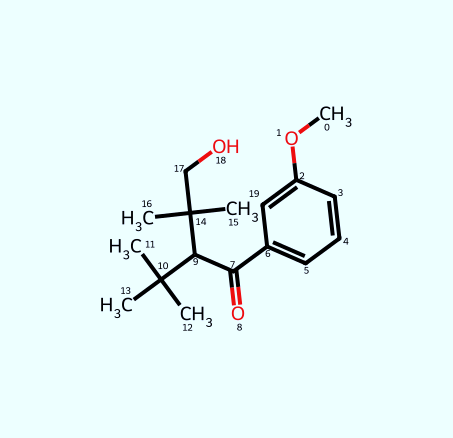 COc1cccc(C(=O)C(C(C)(C)C)C(C)(C)CO)c1